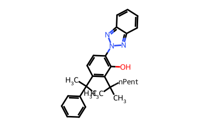 CCCCCC(C)(C)c1c(C(C)(C)c2ccccc2)ccc(-n2nc3ccccc3n2)c1O